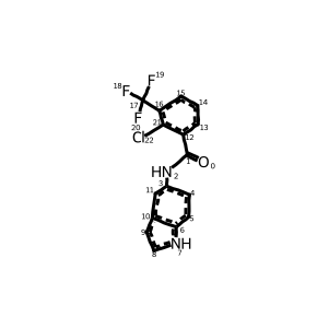 O=C(Nc1ccc2[nH]ccc2c1)c1cccc(C(F)(F)F)c1Cl